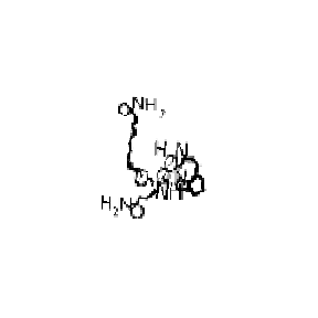 NC(=O)CCCCC/C=C\COC[C@H](CCC(N)=O)NC(=O)[C@@H]1Cc2cccc3c2N1C(=O)[C@@H](N)CC3